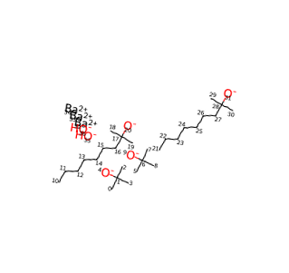 CC(C)(C)[O-].CC(C)(C)[O-].CCCCCCCC(C)(C)[O-].CCCCCCCC(C)(C)[O-].[Ba+2].[Ba+2].[Ba+2].[OH-].[OH-]